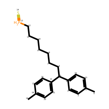 Cc1ccc(C(CCCCCCC[PH2]=S)c2ccc(C)cc2)cc1